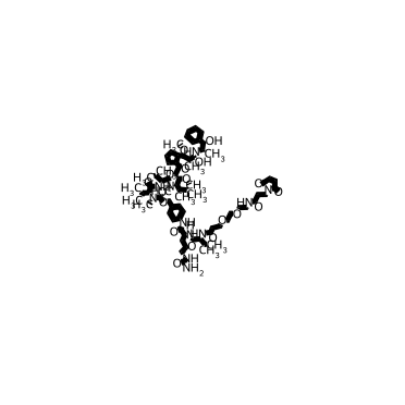 CC[C@H](C)[C@@H]([C@@H](CC(=O)C1CCCC1[C@@H](OC)[C@H](C)C(O)N[C@@H](C)[C@H](O)c1ccccc1)OC)N(C)C(=O)C(NC(=O)C(C(C)C)N(C)C(=O)OCc1ccc(NC(=O)C(CCCNC(N)=O)NC(=O)C(NC(=O)CCOCCOCCNC(=O)CCN2C(=O)C=CC2=O)C(C)C)cc1)C(C)C